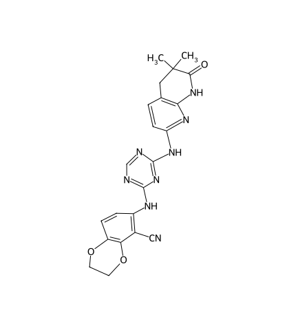 CC1(C)Cc2ccc(Nc3ncnc(Nc4ccc5c(c4C#N)OCCO5)n3)nc2NC1=O